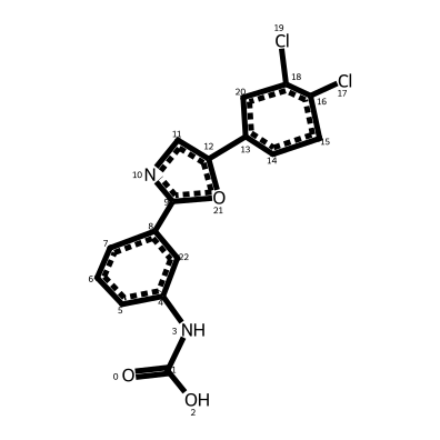 O=C(O)Nc1cccc(-c2ncc(-c3ccc(Cl)c(Cl)c3)o2)c1